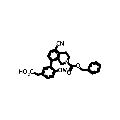 COc1ccc(CC(=O)O)cc1-c1ccc(C#N)c2c1CN(C(=O)OCc1ccccc1)CC2